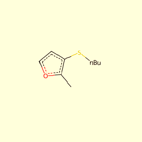 CCCCSc1ccoc1C